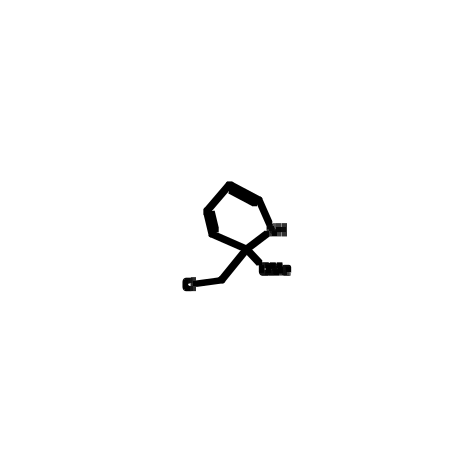 COC1(CCl)C=CC=CN1